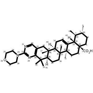 C[C@H]1[C@H](C)CC[C@]2(C(=O)O)CC[C@]3(C)C(=CC[C@@H]4[C@@]5(C)Cc6cnc(N7CCOCC7)nc6C(C)(C)[C@@H]5CC[C@]43C)[C@H]12